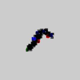 Cc1c(NC(=O)c2ccc(-c3ccc(F)cc3)cc2)ccc2cc(CN3CCC(CC(=O)N(C)C)CC3)cnc12